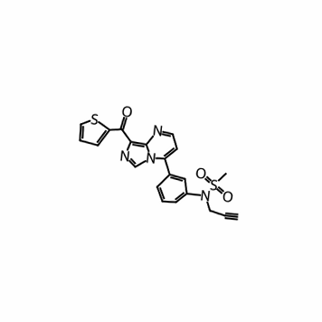 C#CCN(c1cccc(-c2ccnc3c(C(=O)c4cccs4)ncn23)c1)S(C)(=O)=O